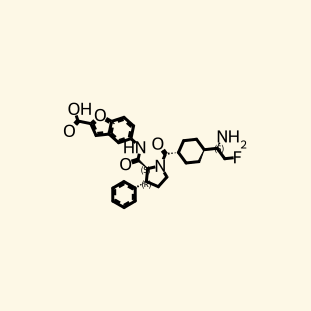 N[C@H](CF)[C@H]1CC[C@H](C(=O)N2CC[C@H](c3ccccc3)[C@H]2C(=O)Nc2ccc3oc(C(=O)O)cc3c2)CC1